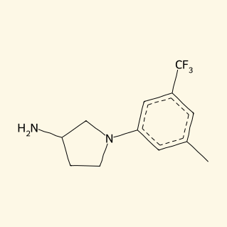 Cc1cc(N2CCC(N)C2)cc(C(F)(F)F)c1